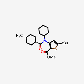 COC(=O)c1sc(C(C)(C)C)cc1N(C(=O)[C@H]1CC[C@H](C)CC1)C1CCCCC1